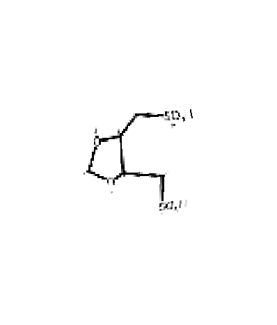 O=S(=O)(O)CC1OCOC1CS(=O)(=O)O